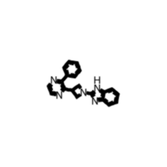 c1ccc(-c2nccnc2C2CN(c3nc4ccccc4[nH]3)C2)cc1